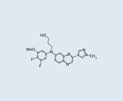 COc1cc(N(CCCO)c2ccc3ncc(-c4cnn(C)c4)nc3c2)cc(F)c1F